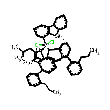 CCCc1ccccc1-c1cccc2c1C=C(CC(C)C)[CH]2[Zr]([Cl])([Cl])([c]1cccc2c1[SiH2]c1ccccc1-2)[CH]1C(CC(C)C)=Cc2c(-c3ccccc3CCC)cccc21